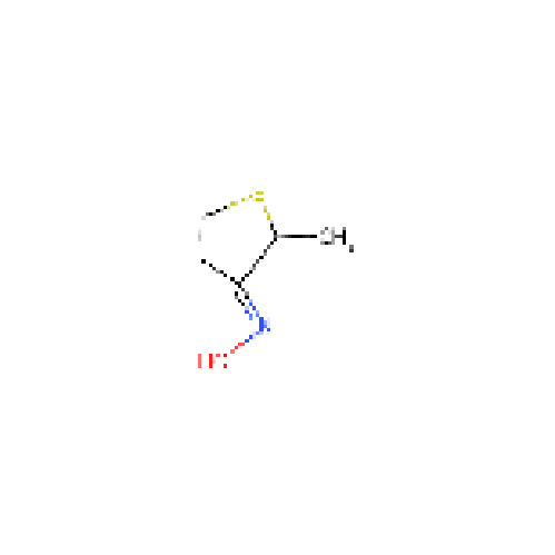 CC1SCCC1=NO